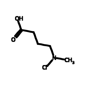 CN(Cl)CCCC(=O)O